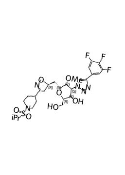 CO[C@@H]1[C@@H](n2cc(-c3cc(F)c(F)c(F)c3)nn2)[C@@H](O)[C@@H](CO)O[C@@H]1C[C@H]1CC(C2CCN(S(=O)(=O)C(C)C)CC2)=NO1